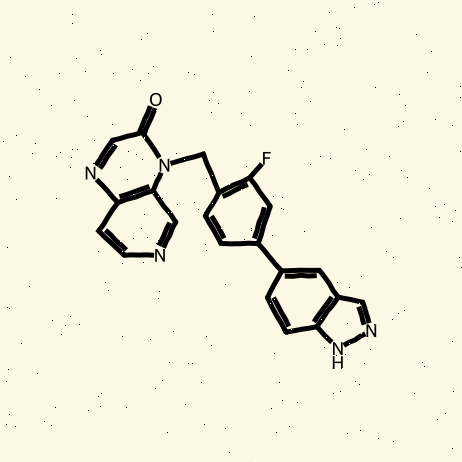 O=c1cnc2ccncc2n1Cc1ccc(-c2ccc3[nH]ncc3c2)cc1F